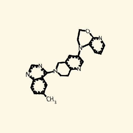 Cc1ccc2ncnc(N3CCc4ncc(N5CCOc6ncccc65)cc4C3)c2c1